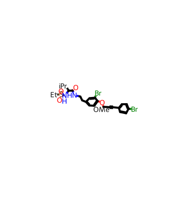 CCS(=O)(=O)NC(C(=O)NCCc1cc(Br)c(OCC#Cc2ccc(Br)cc2)c(OC)c1)C(C)C